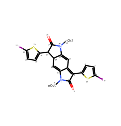 CCCCCCCCN1C(=O)C(c2ccc(I)s2)=C2C=C3C(C=C21)C(c1ccc(I)s1)C(=O)N3CCCCCCCC